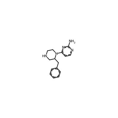 Nc1nccc(N2CCNCC2Cc2ccccc2)n1